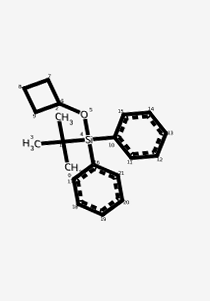 CC(C)(C)[Si](O[C]1CCC1)(c1ccccc1)c1ccccc1